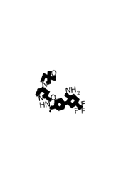 C[C@@H](NC(=O)c1cc(N2CCC3(COC3)C2)ccn1)c1ccc(-c2cc(C(F)(F)F)ccc2CN)cc1